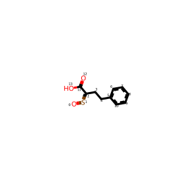 O=S=C(CCc1ccccc1)C(=O)O